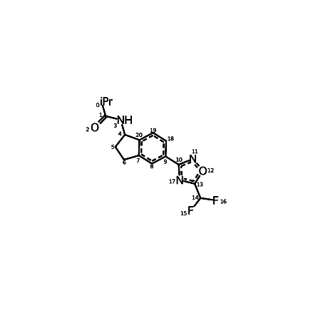 CC(C)C(=O)NC1CCc2cc(-c3noc(C(F)F)n3)ccc21